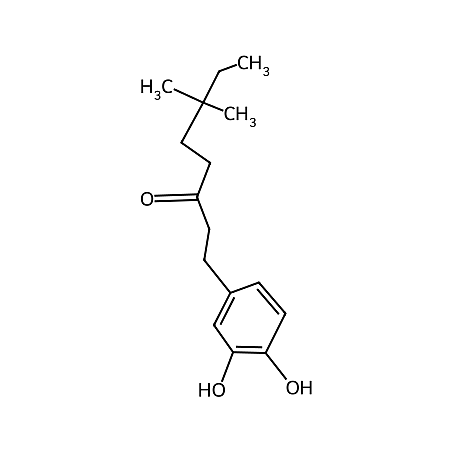 CCC(C)(C)CCC(=O)CCc1ccc(O)c(O)c1